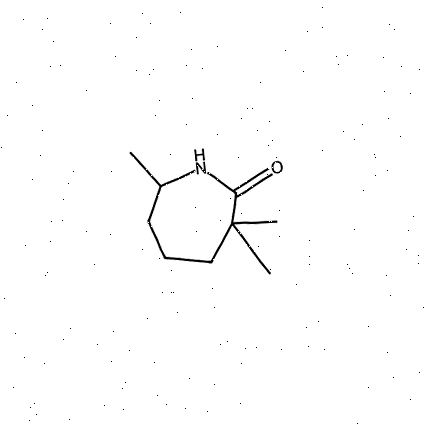 CC1CCCC(C)(C)C(=O)N1